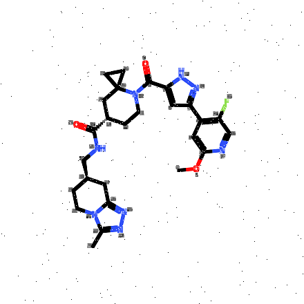 COc1cc(-c2cc(C(=O)N3CC[C@H](C(=O)NC[C@@H]4CCn5c(C)nnc5C4)CC34CC4)[nH]n2)c(F)cn1